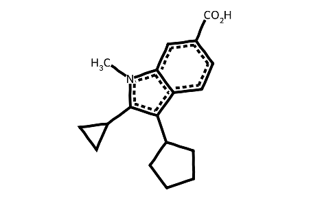 Cn1c(C2CC2)c(C2CCCC2)c2ccc(C(=O)O)cc21